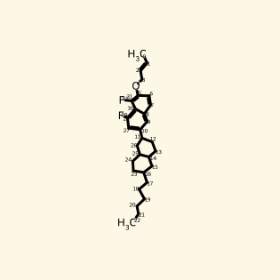 CC=CCOc1ccc2cc(C3CCC4CC(CCCCCC)CCC4C3)cc(F)c2c1F